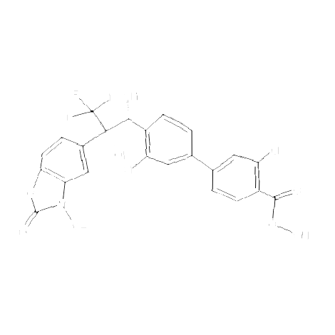 COC(=O)c1ccc(-c2ccc([C@@H](C)[C@@](O)(c3ccc4oc(=O)n(C)c4c3)C(F)(F)F)c(Cl)c2)cc1Cl